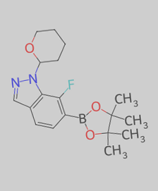 CC1(C)OB(c2ccc3cnn(C4CCCCO4)c3c2F)OC1(C)C